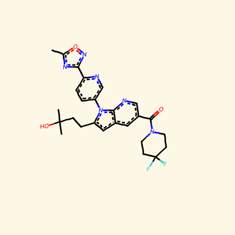 Cc1nc(-c2ccc(-n3c(CCC(C)(C)O)cc4cc(C(=O)N5CCC(F)(F)CC5)cnc43)cn2)no1